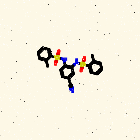 Cc1ccccc1S(=O)(=O)Nc1ccc(C#N)cc1NS(=O)(=O)c1ccccc1C